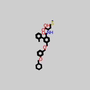 CSCCC(NC(=O)c1ccc(COCc2cccc(OCC3CCCCC3)c2)cc1-c1ccccc1C)C(=O)O